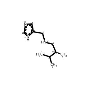 CC(C)[C@H](C)CNCc1cnc[nH]1